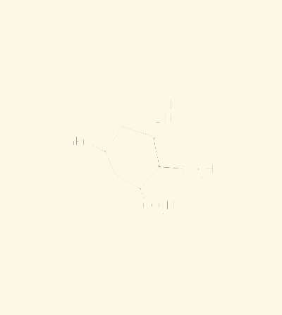 CCCC1CCC(C(=O)O)C(C(=O)O)C1.[LiH].[LiH]